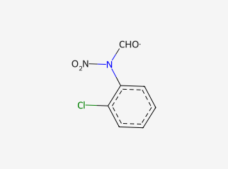 O=[C]N(c1ccccc1Cl)[N+](=O)[O-]